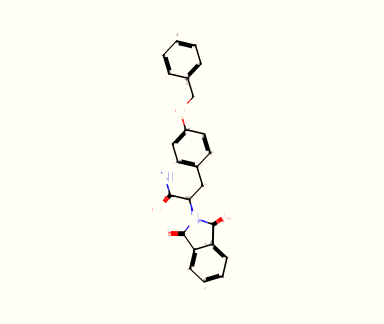 NC(=O)C(Cc1ccc(OCc2ccccc2)cc1)N1C(=O)c2ccccc2C1=O